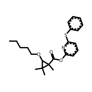 CCCCCOC1C(C)(C)C1(C)C(=O)Oc1cccc(Sc2ccccc2)n1